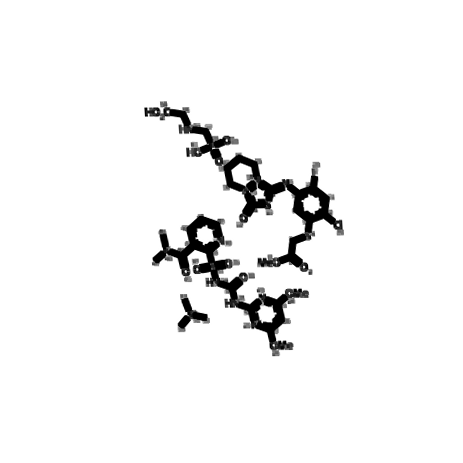 COC(=O)CSc1cc(/N=c2\sc(=O)n3n2CCCC3)c(F)cc1Cl.COc1cc(OC)nc(NC(=O)NS(=O)(=O)c2ncccc2C(=O)N(C)C)n1.C[S+](C)C.O=C(O)CNCP(=O)([O-])O